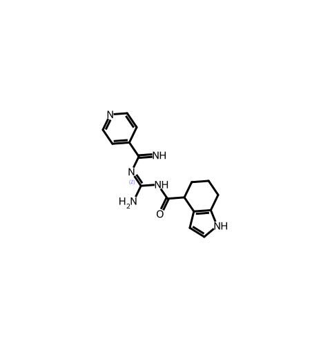 N=C(/N=C(/N)NC(=O)C1CCCc2[nH]ccc21)c1ccncc1